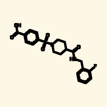 O=C(O)c1ccc(S(=O)(=O)N2CCC(C(=O)NCc3ccccc3F)CC2)cc1